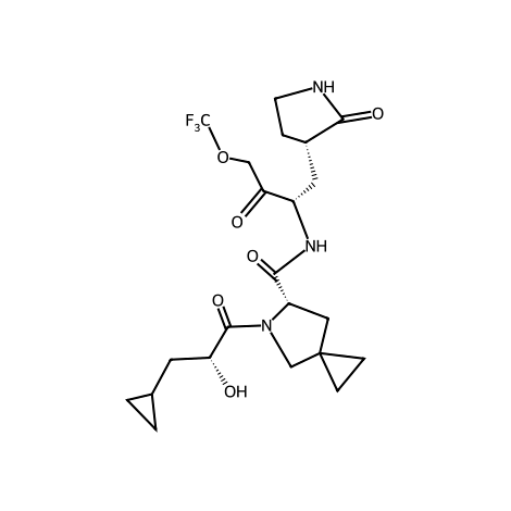 O=C1NCC[C@H]1C[C@H](NC(=O)[C@@H]1CC2(CC2)CN1C(=O)[C@H](O)CC1CC1)C(=O)COC(F)(F)F